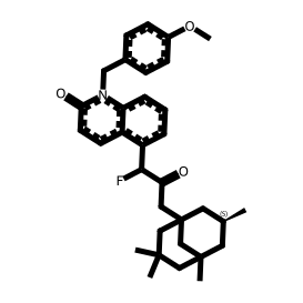 COc1ccc(Cn2c(=O)ccc3c(C(F)C(=O)CC45C[C@@H](C)CC(C)(CC(C)(C)C4)C5)cccc32)cc1